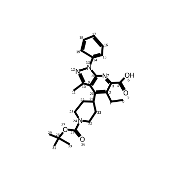 CCc1c(C(=O)O)nc2c(c(C)nn2-c2ccccc2)c1C1CCN(C(=O)OC(C)(C)C)CC1